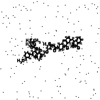 CCc1cccc(-c2cnc(C(=O)N(C)CCOCCN(C)CC(=O)N3CCN(C(=O)c4cc(Cc5n[nH]c(=O)c6ccccc56)ccc4F)CC3)c(NC(=O)OC(C)(C)C)c2)c1